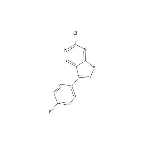 Fc1ccc(-c2csc3nc(Cl)ncc23)cc1